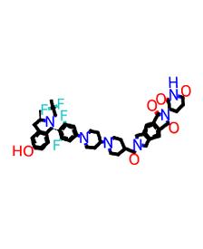 C[C@@H]1Cc2cc(O)ccc2[C@@H](c2c(F)cc(N3CCC(N4CCC(C(=O)N5Cc6cc7c(cc6C5)C(=O)N(C5CCC(=O)NC5=O)C7=O)CC4)CC3)cc2F)N1CC(C)(F)F